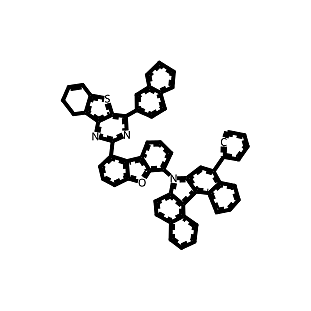 C1=Cc2sc3c(-c4ccc5ccccc5c4)nc(-c4cccc5oc6c(-n7c8ccc9ccccc9c8c8c9ccccc9c(-c9ccccc9)cc87)cccc6c45)nc3c2CC1